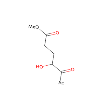 COC(=O)CCC(O)C(=O)C(C)=O